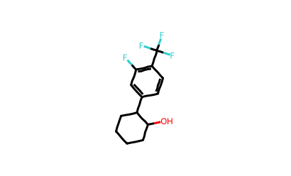 OC1CCCCC1c1ccc(C(F)(F)F)c(F)c1